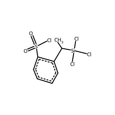 CC(c1ccccc1S(=O)(=O)Cl)[Si](Cl)(Cl)Cl